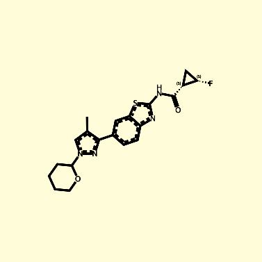 Cc1cn(C2CCCCO2)nc1-c1ccc2nc(NC(=O)[C@@H]3C[C@@H]3F)sc2c1